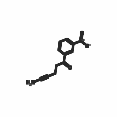 NC#CCCC(=O)c1cccc([N+](=O)[O-])c1